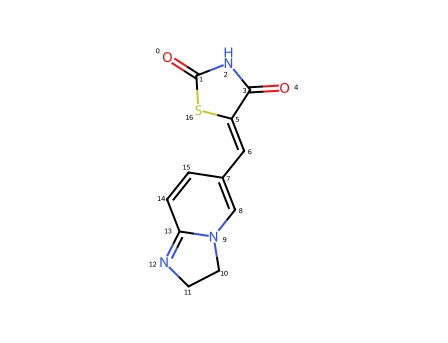 O=C1NC(=O)/C(=C/C2=CN3CCN=C3C=C2)S1